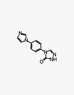 O=c1[nH]ncn1-c1ccc(-n2ccnc2)cc1